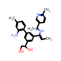 C/C=C(\N[C@H](C)c1ccc(C)nc1)c1cc(-c2ccc(C)cc2N)cc(C(O)CO)c1